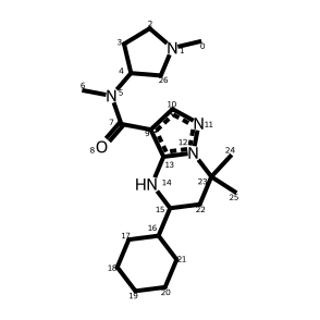 CN1CCC(N(C)C(=O)c2cnn3c2NC(C2CCCCC2)CC3(C)C)C1